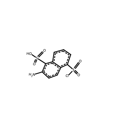 Nc1ccc2c(S(=O)(=O)Cl)cccc2c1S(=O)(=O)O